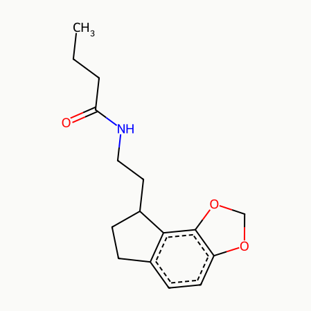 CCCC(=O)NCCC1CCc2ccc3c(c21)OCO3